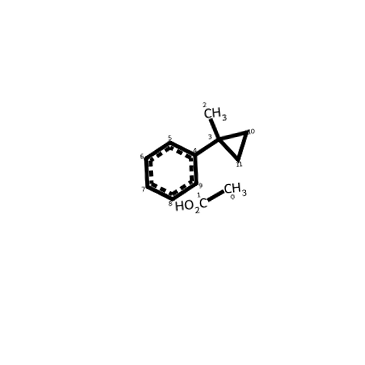 CC(=O)O.CC1(c2ccccc2)CC1